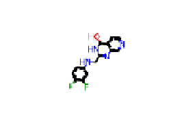 OC1NC(CNc2ccc(F)c(F)c2)=Nc2cnccc21